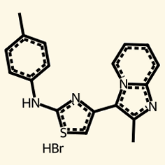 Br.Cc1ccc(Nc2nc(-c3c(C)nc4ccccn34)cs2)cc1